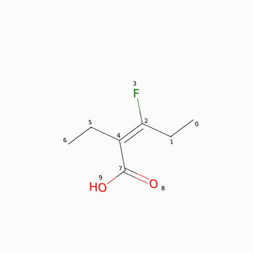 CCC(F)=C(CC)C(=O)O